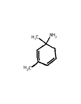 CC1=CC(C)(N)CC=C1